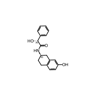 O=C(N[C@@H]1CCc2ccc(O)cc2C1)[C@H](O)c1ccccc1